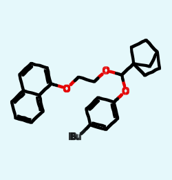 CCC(C)c1ccc(OC(OCCOc2cccc3ccccc23)C23CCC(CC2)C3)cc1